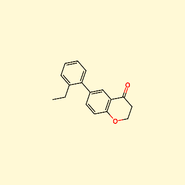 CCc1ccccc1-c1ccc2c(c1)C(=O)CCO2